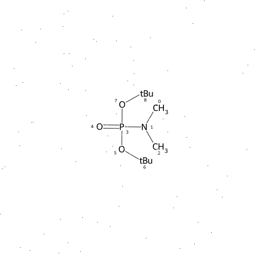 CN(C)P(=O)(OC(C)(C)C)OC(C)(C)C